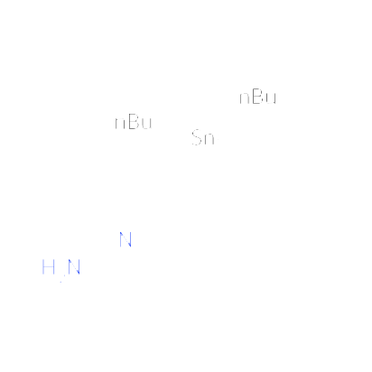 CCC[CH2][Sn][CH2]CCC.NN=Cc1ccccc1